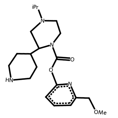 COCc1cccc(OC(=O)N2CCN(C(C)C)CC2C2CCNCC2)n1